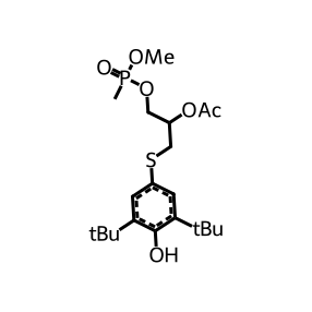 COP(C)(=O)OCC(CSc1cc(C(C)(C)C)c(O)c(C(C)(C)C)c1)OC(C)=O